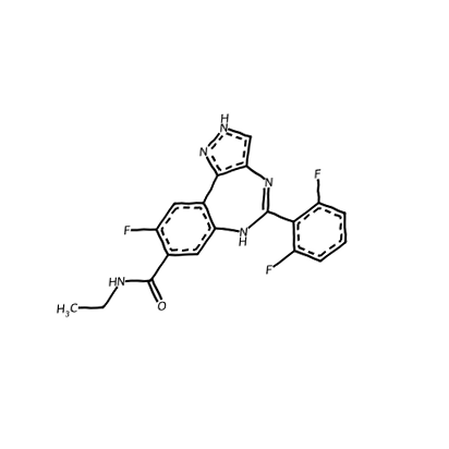 CCNC(=O)c1cc2c(cc1F)-c1n[nH]cc1N=C(c1c(F)cccc1F)N2